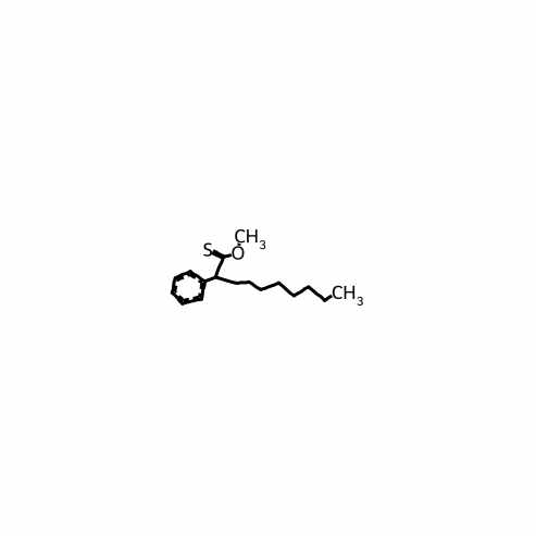 CCCCCCCCC(C(=S)OC)c1ccccc1